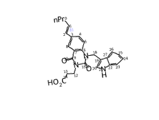 CCC/C=C/c1ccc2c(c1)c(=O)n(CCC(=O)O)c(=O)n2Cc1c[nH]c2ccccc12